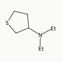 CCN(CC)C1CCSC1